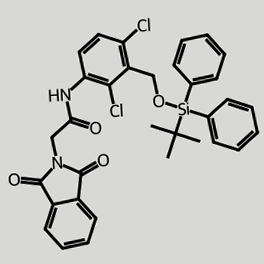 CC(C)(C)[Si](OCc1c(Cl)ccc(NC(=O)CN2C(=O)c3ccccc3C2=O)c1Cl)(c1ccccc1)c1ccccc1